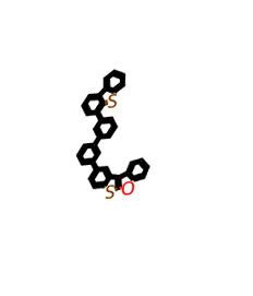 c1cc(-c2cccc(-c3cccc4c3sc3ccccc34)c2)cc(-c2ccc3sc4oc5ccccc5c4c3c2)c1